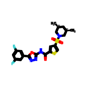 C[C@@H]1C[C@H](C)CN(S(=O)(=O)c2csc(C(=O)Nc3nnc(-c4cc(F)cc(F)c4)o3)c2)C1